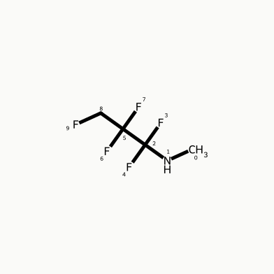 CNC(F)(F)C(F)(F)CF